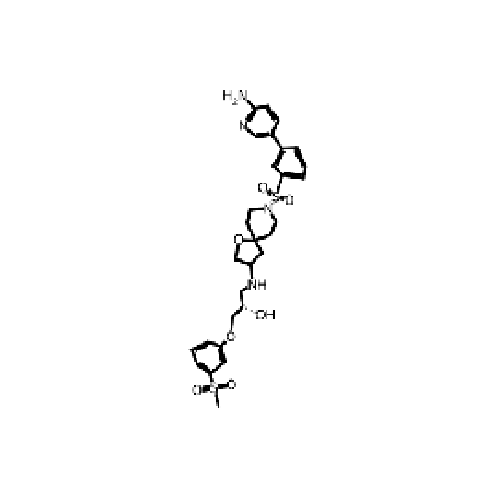 CS(=O)(=O)c1cccc(OC[C@@H](O)CNC2COC3(CCN(S(=O)(=O)c4cccc(-c5ccc(N)nc5)c4)CC3)C2)c1